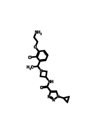 CC(c1cccc(OCCN)c1Cl)N1CC(NC(=O)c2cn(C3CC3)nn2)C1